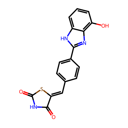 O=C1NC(=O)C(=Cc2ccc(-c3nc4c(O)cccc4[nH]3)cc2)S1